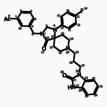 CC(=O)c1cccc(CN2CN(c3ccc(F)cc3)C3(CCN(CCCn4c(=O)[nH]c5ccccc54)CC3)C2=O)c1